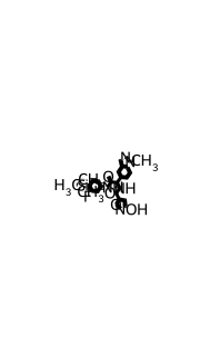 Cn1ncc2cc(C(NC(=O)c3cc(O)no3)C(=O)Nc3ccc([Si](C)(C)C)c(F)c3)ccc21